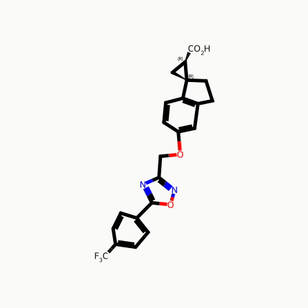 O=C(O)[C@@H]1C[C@]12CCc1cc(OCc3noc(-c4ccc(C(F)(F)F)cc4)n3)ccc12